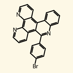 Brc1ccc(-c2nc3ccccc3c3c4cccnc4c4ncccc4c23)cc1